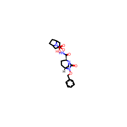 O=C(NOC1CC2CCC(C1)N2C(=O)O)[C@@H]1CC[C@@H]2CN1C(=O)N2OCc1ccccc1